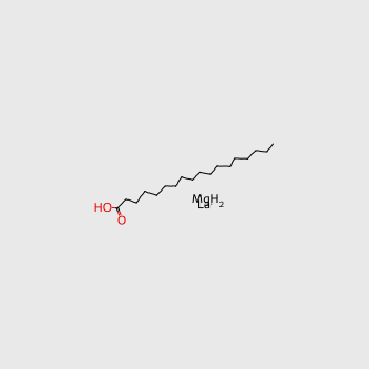 CCCCCCCCCCCCCCCCCC(=O)O.[La].[MgH2]